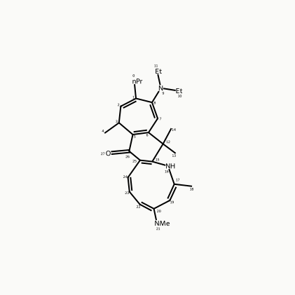 CCCC1=CC(C)C2=C(C=C1N(CC)CC)C(C)(C)c1[nH]c(C)cc(NC)cccc1C2=O